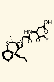 CC/C=C\C1=C([C@@H](C)Sc2ccccc2)N(CC(=O)NC(CC(=O)O)C(=O)CF)C1